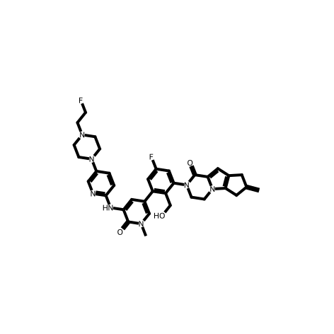 C=C1Cc2cc3n(c2C1)CCN(c1cc(F)cc(-c2cc(Nc4ccc(N5CCN(CCF)CC5)cn4)c(=O)n(C)c2)c1CO)C3=O